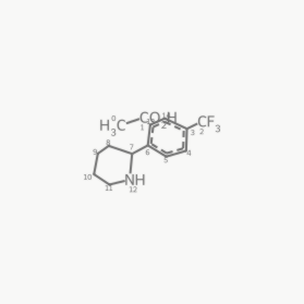 CC(=O)O.FC(F)(F)c1ccc(C2CCCCN2)cc1